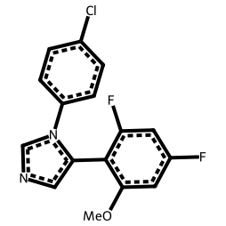 COc1cc(F)cc(F)c1-c1cncn1-c1ccc(Cl)cc1